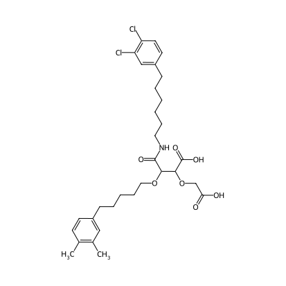 Cc1ccc(CCCCCOC(C(=O)NCCCCCCc2ccc(Cl)c(Cl)c2)C(OCC(=O)O)C(=O)O)cc1C